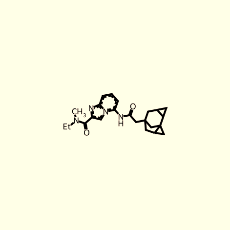 CCN(C)C(=O)c1cn2c(NC(=O)CC34CC5CC5C5(CC5C3)C4)cccc2n1